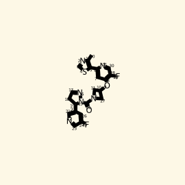 Cc1ncsc1-c1cc(OC2CN(C(=O)N3N=CCC3c3cncc(F)c3)C2)c(F)cn1